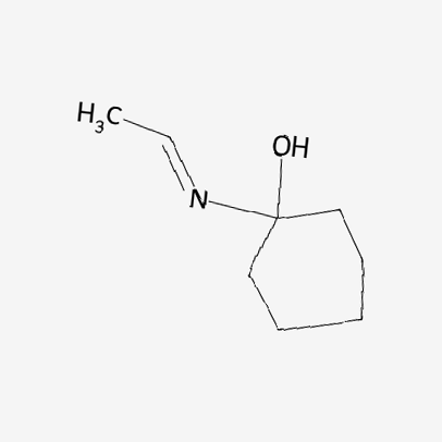 CC=NC1(O)CCCCC1